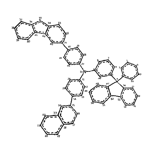 c1ccc(C2(c3cccc(N(c4ccc(-c5ccc6ccccc6c5)cc4)c4ccc(-c5ccc6sc7ccccc7c6c5)cc4)c3)c3ccccc3-c3ccccc32)cc1